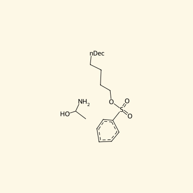 CC(N)O.CCCCCCCCCCCCCCOS(=O)(=O)c1ccccc1